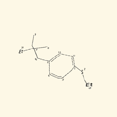 CCSc1ccc(CC(C)(C)CC)cc1